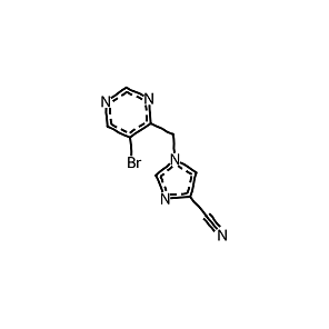 N#Cc1cn(Cc2ncncc2Br)cn1